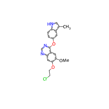 COc1cc2c(Oc3ccc4[nH]cc(C)c4c3)ncnc2cc1OCCCl